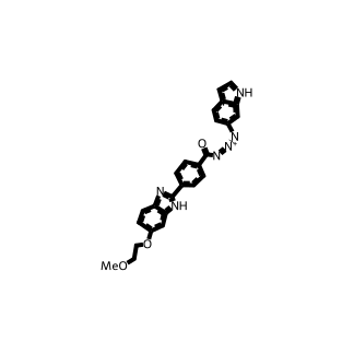 COCCOc1ccc2nc(-c3ccc(C(=O)N=[N+]=Nc4ccc5cc[nH]c5c4)cc3)[nH]c2c1